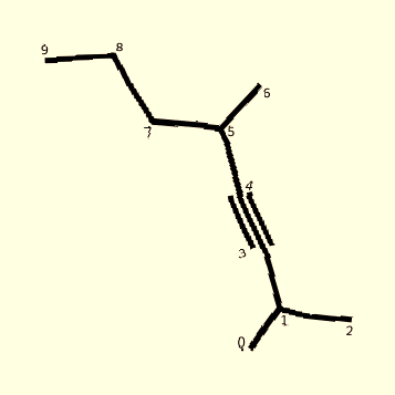 [CH2]C(C)C#CC(C)CCC